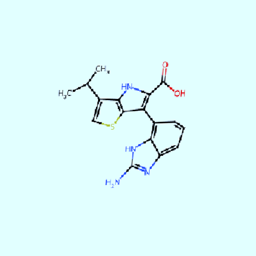 CC(C)c1csc2c(-c3cccc4nc(N)[nH]c34)c(C(=O)O)[nH]c12